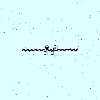 CCCCCCCCCCCCN(Cl)C(=O)CCC(=O)N(Cl)CCCCCCCCCCCC